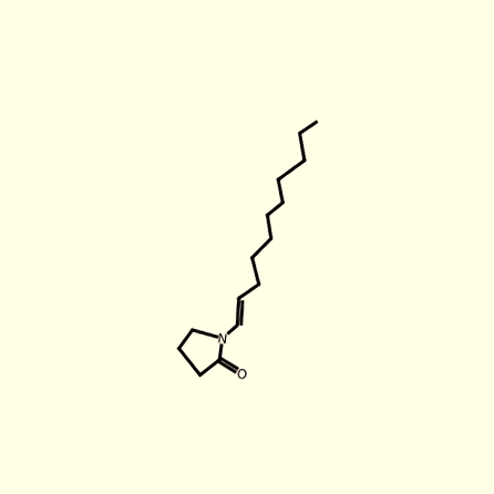 CCCCCCCCCC=CN1CCCC1=O